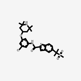 CC1(C)CC(Oc2cc(Cl)cc(NC(=O)c3cc4cc(C(C)(C)S(C)(=O)=O)ccc4s3)c2)CC(C)(C)N1